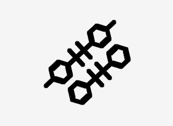 CC(C)(c1ccccc1)C(C)(C)c1ccccc1.Cc1ccc(C(C)(C)C(C)(C)c2ccc(C)cc2)cc1